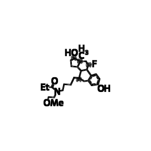 CCC(=O)N(CCCC[C@@H]1Cc2cc(O)ccc2C2C1C1CC[C@H](O)[C@@]1(C)C[C@@H]2F)CCOC